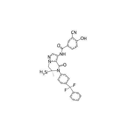 C[C@]1([SiH3])Cn2ncc(NC(=O)c3ccc(O)c(C#N)c3)c2C(=O)N1c1ccc(C(F)(F)c2ccccc2)cc1